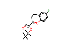 CC(C)(C)[Si](C)(C)O[C@H](C=O)[C@@H]1CCc2cc(F)ccc2O1